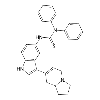 S=C(Nc1ccc2[nH]cc(C3=CCN4CCCC4C3)c2c1)N(c1ccccc1)c1ccccc1